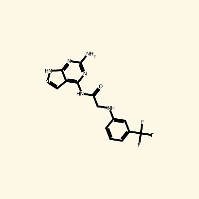 Nc1nc(NC(=O)CNc2cccc(C(F)(F)F)c2)c2cn[nH]c2n1